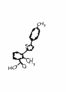 Cc1ccc(-c2ccc(-c3cccc(C(=O)O)c3C)s2)cc1